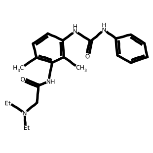 CCN(CC)CC(=O)Nc1c(C)ccc(NC(=O)Nc2ccccc2)c1C